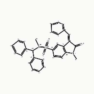 CN1C(=O)/C(=C/c2ccccc2)c2cc(S(=O)(=O)N(C)C(c3ccccc3)c3ccccc3)ccc21